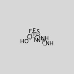 Oc1ccc(C(F)(F)F)c(-c2nnc(N[C@@H]3CCCNC3)c3c2CSC3)c1